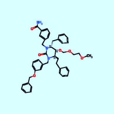 COCCOCO[C@@H]1[C@@H](CCc2ccccc2)N(Cc2cccc(OCc3ccccc3)c2)C(=O)N(Cc2cccc(C(N)=O)c2)[C@@H]1Cc1ccccc1